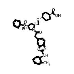 Cc1ccccc1Nc1nc2ccc(CC(=O)N3C[C@@H](S(=O)(=O)c4ccccc4)C[C@H]3CO[C@H]3CC[C@H](C(=O)O)CC3)cc2o1